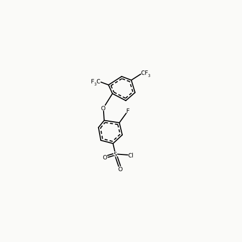 O=S(=O)(Cl)c1ccc(Oc2ccc(C(F)(F)F)cc2C(F)(F)F)c(F)c1